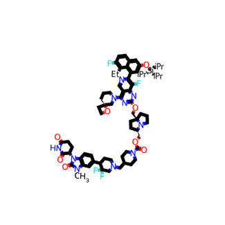 CCc1c(F)ccc2cc(O[Si](C(C)C)(C(C)C)C(C)C)cc(-c3ncc4c(N5CCC[C@]6(CCO6)C5)nc(OC[C@@]56CCCN5[C@H](COC(=O)N5CCC(CN7CCC(c8ccc9c(c8)n(C)c(=O)n9C8CCC(=O)NC8=O)C(F)(F)C7)CC5)CC6)nc4c3F)c12